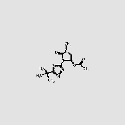 CC(=O)OC1CN(C)C(=O)N1c1nnc(C(C)(C)C)s1